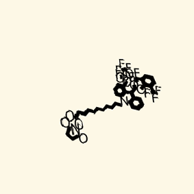 O=C(CCCCCCCCCCN1c2ccccc2C(C(=O)Oc2c(C(F)(F)F)cccc2C(F)(F)F)c2c(OS(=O)(=O)C(F)(F)F)cccc21)ON1C(=O)CCC1=O